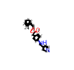 O=C(Cc1ccc(NCc2ccncc2)cc1)OCc1ccccc1